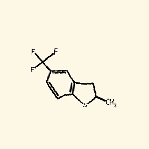 CC1Cc2cc(C(F)(F)F)ccc2S1